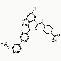 COc1cc(-c2ccc(Cn3ncc4cc(Cl)cc(C(=O)NC5CCC(C(=O)O)CC5)c43)c(F)c2)ccn1